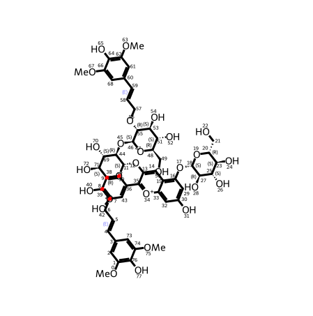 COc1cc(/C=C/COC[C@H]2O[C@@H](Oc3cc4c(O[C@@H]5O[C@H](CO)[C@@H](O)[C@H](O)[C@H]5O)cc(O)cc4[o+]c3-c3ccc(O)c(O)c3)[C@H](O[C@@H]3O[C@H](CO)[C@@H](O)[C@H](O)[C@H]3OC/C=C/c3cc(OC)c(O)c(OC)c3)[C@@H](O)[C@@H]2O)cc(OC)c1O